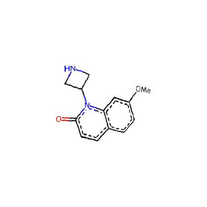 COc1ccc2ccc(=O)n(C3CNC3)c2c1